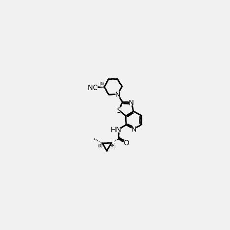 C[C@H]1C[C@H]1C(=O)Nc1nccc2nc(N3CCC[C@H](C#N)C3)sc12